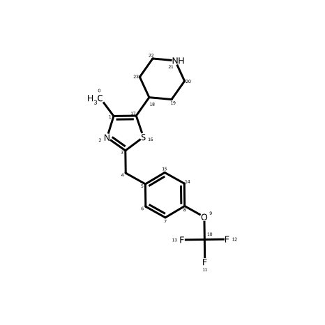 Cc1nc(Cc2ccc(OC(F)(F)F)cc2)sc1C1CCNCC1